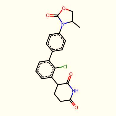 CC1COC(=O)N1c1ccc(-c2cccc(C3CCC(=O)NC3=O)c2Cl)cc1